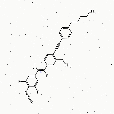 CCCCCc1ccc(C#Cc2ccc(/C(F)=C(\F)c3cc(F)c(N=C=S)c(F)c3)cc2CC)cc1